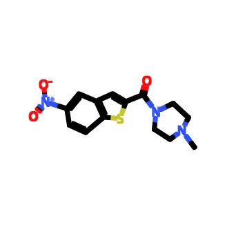 CN1CCN(C(=O)c2cc3cc([N+](=O)[O-])ccc3s2)CC1